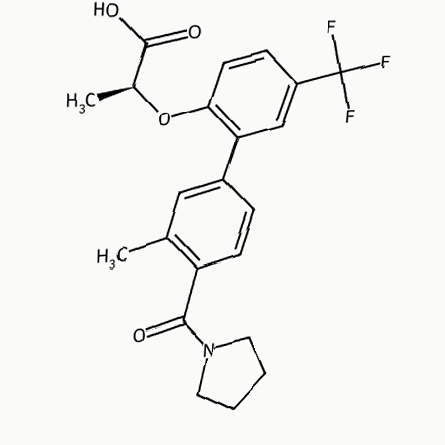 Cc1cc(-c2cc(C(F)(F)F)ccc2O[C@@H](C)C(=O)O)ccc1C(=O)N1CCCC1